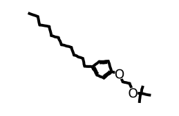 CCCCCCCCCCCc1ccc(OCCOC(C)(C)C)cc1